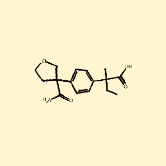 CCC(C)(C(=O)O)c1ccc(C2(C(N)=O)CCOC2)cc1